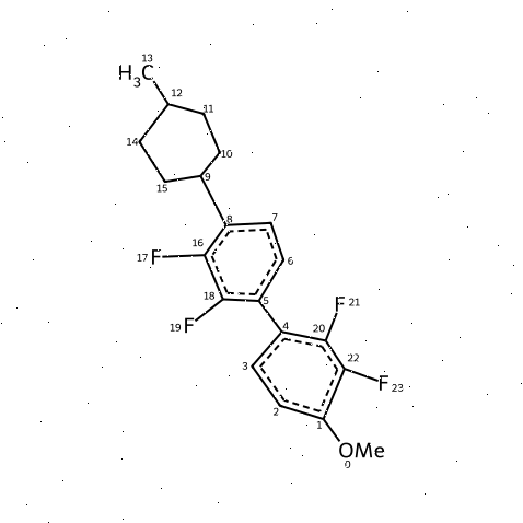 COc1ccc(-c2ccc(C3CCC(C)CC3)c(F)c2F)c(F)c1F